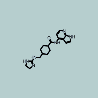 O=C(Nc1ccnc2[nH]ccc12)C1CCC(CNC2=NCCN2)CC1